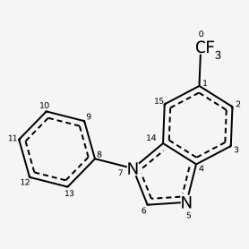 FC(F)(F)c1ccc2ncn(-c3ccccc3)c2c1